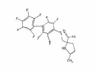 CCC(=O)C1(CSc2c(F)c(F)c(-c3c(F)c(F)c(F)c(F)c3F)c(F)c2F)CCC(C)N1